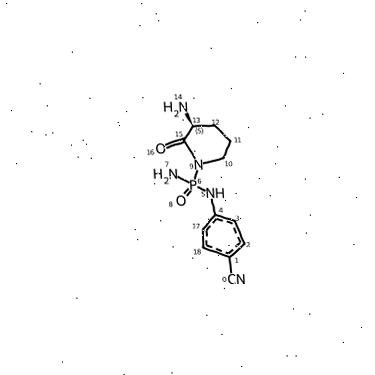 N#Cc1ccc(NP(N)(=O)N2CCC[C@H](N)C2=O)cc1